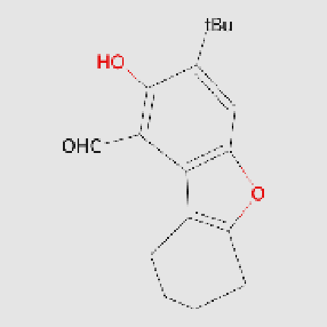 CC(C)(C)c1cc2oc3c(c2c(C=O)c1O)CCCC3